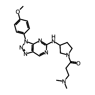 COc1ccc(-n2nnc3cnc(NC4CCN(C(=O)CCN(C)C)C4)nc32)cc1